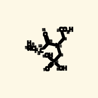 Cl.Cl.O=C(O)CN(CP(=O)(O)O)C(=O)C(F)(F)F